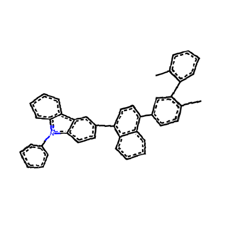 Cc1ccccc1-c1cc(-c2ccc(-c3ccc4c(c3)c3ccccc3n4-c3ccccc3)c3ccccc23)ccc1C